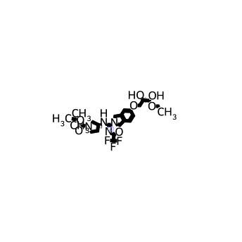 CCOC(O)[C@H](O)COc1ccc2c(c1)CN(/C(=N\C(=O)C(F)(F)F)N[C@@H]1CCN(C(=O)OC(C)(C)C)C1)C2